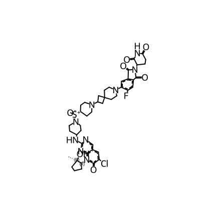 C[C@@]1(O)CCC[C@H]1n1c(=O)c(Cl)cc2cnc(NC3CCN([S+]([O-])C4CCN(C5CC6(CCN(c7cc8c(cc7F)C(=O)N(C7CCC(=O)NC7=O)C8=O)CC6)C5)CC4)CC3)nc21